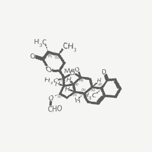 CO[C@@]12C[C@H]3[C@@H](CC=C4CC=CC(=O)[C@@]43C)[C@@H]3C[C@H](OC=O)[C@@H]([C@@H]31)[C@](C)(C1C[C@H](C)[C@@H](C)C(=O)O1)O2